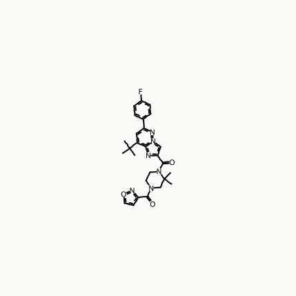 CC(C)(C)c1cc(-c2ccc(F)cc2)nn2cc(C(=O)N3CCN(C(=O)c4ccon4)CC3(C)C)nc12